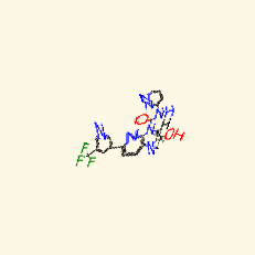 O=C(Nc1cccnn1)N1c2nc(-c3cncc(C(F)(F)F)c3)ccc2N2C[C@@H](O)[C@H]1C2